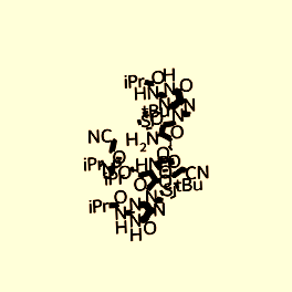 CC(C)C(=O)Nc1nc2c(ncn2[C@@H]2O[C@H](COP(=O)(N[C@H]3C(O[Si](C)(C)C(C)(C)C)[C@H](n4cnc5c(=O)[nH]c(NC(=O)C(C)C)nc54)O[C@@H]3COP(OCCC#N)N(C(C)C)C(C)C)OCCC#N)[C@@H](N)C2O[Si](C)(C)C(C)(C)C)c(=O)[nH]1